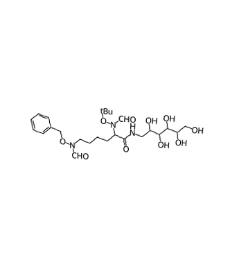 CC(C)(C)ON(C=O)C(CCCCN(C=O)OCc1ccccc1)C(=O)NCC(O)C(O)C(O)C(O)CO